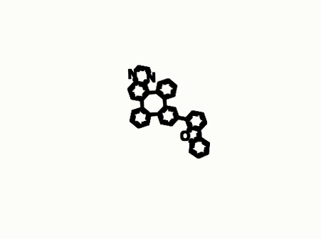 c1ccc2c(c1)-c1ccc(-c3cccc4c3oc3ccccc34)cc1-c1ccccc1-c1c-2ccc2nccnc12